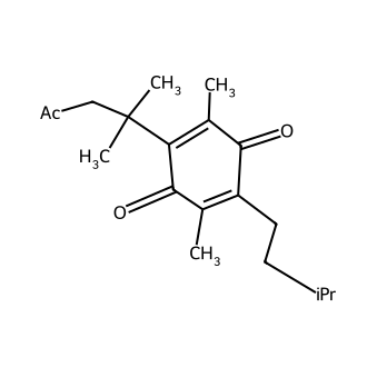 CC(=O)CC(C)(C)C1=C(C)C(=O)C(CCC(C)C)=C(C)C1=O